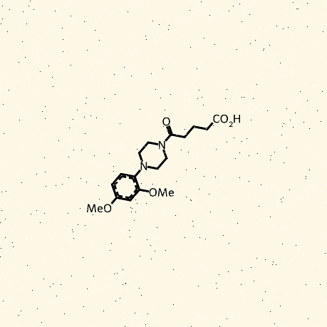 COc1ccc(N2CCN(C(=O)CCCC(=O)O)CC2)c(OC)c1